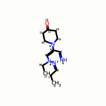 CC/C=N\N(/C=C(\C=N)N1CCC(=O)CC1)CC